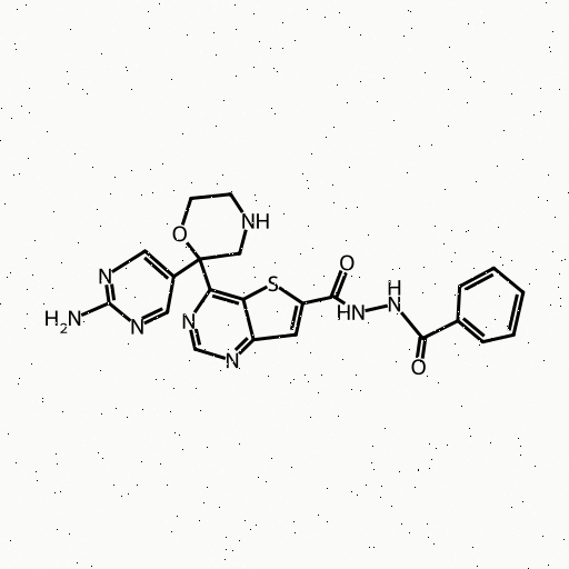 Nc1ncc(C2(c3ncnc4cc(C(=O)NNC(=O)c5ccccc5)sc34)CNCCO2)cn1